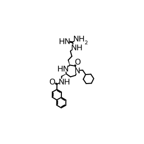 N=C(N)NCCC[C@@H]1N[C@H](CNC(=O)c2ccc3ccccc3c2)CCN(CC2CCCCC2)C1=O